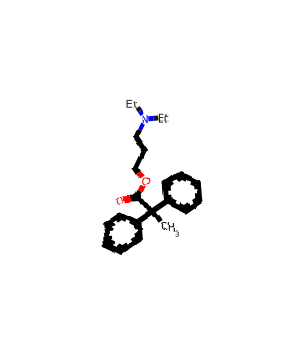 CCN(CC)CCCOC(=O)C(C)(c1ccccc1)c1ccccc1